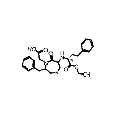 CCOC(=O)[C@@H](CCc1ccccc1)NC1CSCC(Cc2ccccc2)N(CC(=O)O)C1=O